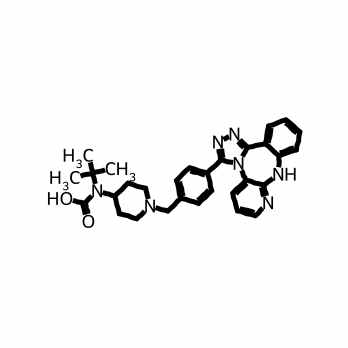 CC(C)(C)N(C(=O)O)C1CCN(Cc2ccc(-c3nnc4n3-c3cccnc3Nc3ccccc3-4)cc2)CC1